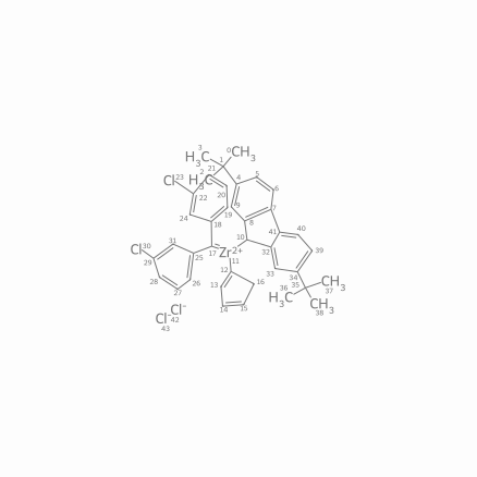 CC(C)(C)c1ccc2c(c1)[CH]([Zr+2]([C]1=CC=CC1)=[C](c1cccc(Cl)c1)c1cccc(Cl)c1)c1cc(C(C)(C)C)ccc1-2.[Cl-].[Cl-]